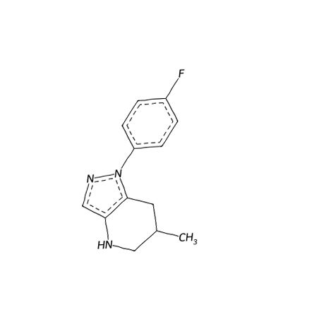 CC1CNc2cnn(-c3ccc(F)cc3)c2C1